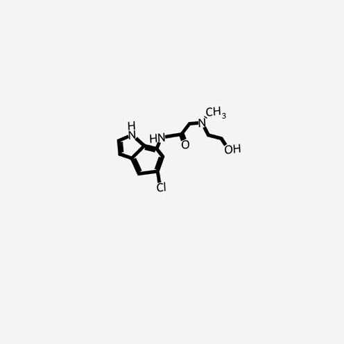 CN(CCO)CC(=O)Nc1cc(Cl)cc2cc[nH]c12